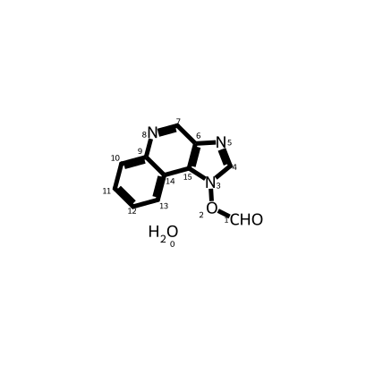 O.O=COn1cnc2cnc3ccccc3c21